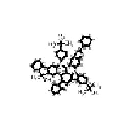 CC(C)(C)c1ccc(N2B3c4cc5nc(-c6ccccc6)sc5cc4-n4c5ccc(C(C)(C)C)cc5c5c6oc7ccccc7c6c(c3c54)-c3cc4c(cc32)-c2ccccc2C4(C)C)cc1